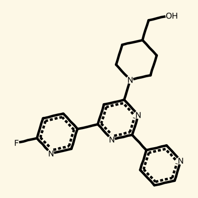 OCC1CCN(c2cc(-c3ccc(F)nc3)nc(-c3cccnc3)n2)CC1